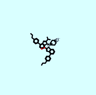 CCCc1ccc(-c2cccc3c2C=C(C(C)C)[CH]3[Ti+2]2([CH]3C(C(C)C)=Cc4c(-c5ccc(CCC)cc5)cccc43)[CH]3CCCC[CH]32)cc1.[Cl-].[Cl-]